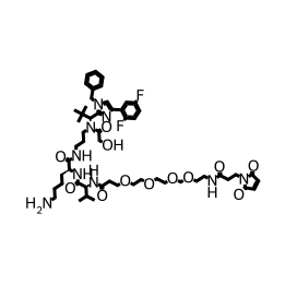 CC(C)[C@H](NC(=O)CCOCCOCCOCOCCNC(=O)CCN1C(=O)C=CC1=O)C(=O)N[C@@H](CCCCN)C(=O)NCCCN(C(=O)CO)[C@@H](c1nc(-c2cc(F)ccc2F)cn1Cc1ccccc1)C(C)(C)C